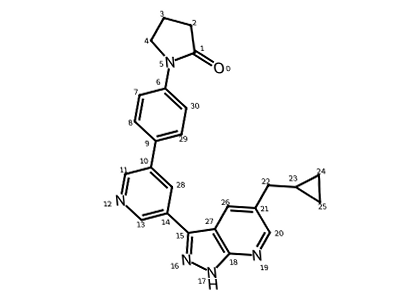 O=C1CCCN1c1ccc(-c2cncc(-c3n[nH]c4ncc(CC5CC5)cc34)c2)cc1